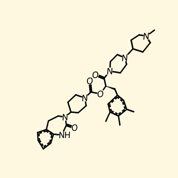 Cc1cc(C[C@@H](OC(=O)N2CCC(N3CCc4ccccc4NC3=O)CC2)C(=O)N2CCN(C3CCN(C)CC3)CC2)cc(C)c1C